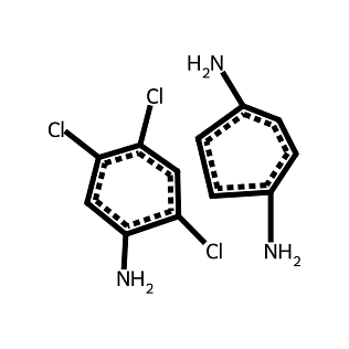 Nc1cc(Cl)c(Cl)cc1Cl.Nc1ccc(N)cc1